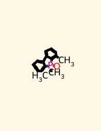 Cc1cccc2c1P(C)(=O)c1c(C)cccc1-2